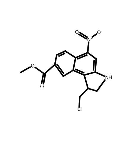 COC(=O)c1ccc2c([N+](=O)[O-])cc3c(c2c1)C(CCl)CN3